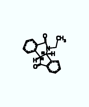 CCN1C(=O)c2ccccc2[C@H]2C(=O)c3ccccc3[C@H]21